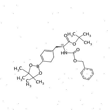 CC(C)(C)OC(=O)[C@H](CC1=CC=C(B2OC(C)(C)C(C)(C)O2)CC1)NC(=O)OCc1ccccc1